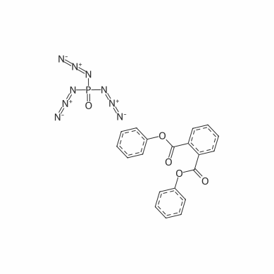 O=C(Oc1ccccc1)c1ccccc1C(=O)Oc1ccccc1.[N-]=[N+]=NP(=O)(N=[N+]=[N-])N=[N+]=[N-]